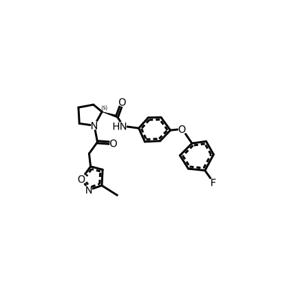 Cc1cc(CC(=O)N2CCC[C@H]2C(=O)Nc2ccc(Oc3ccc(F)cc3)cc2)on1